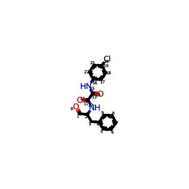 O=CC(Cc1ccccc1)NC(=O)C(=O)Nc1ccc(Cl)cc1